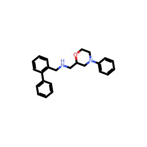 [c]1cccc(CNCC2CN(c3ccccc3)CCO2)c1-c1ccccc1